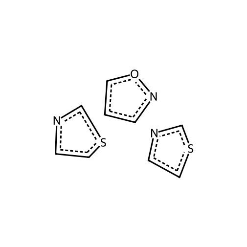 c1cnoc1.c1cscn1.c1cscn1